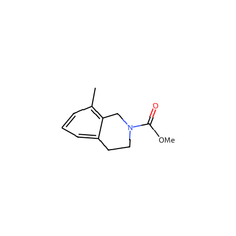 COC(=O)N1CCc2cccc(C)c2C1